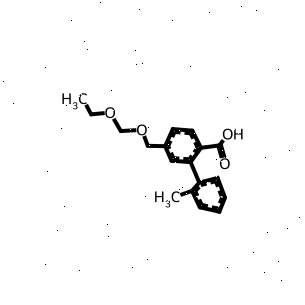 CCOCOCc1ccc(C(=O)O)c(-c2ccccc2C)c1